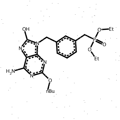 CCCCOc1nc(N)c2nc(O)n(Cc3cccc(CP(=O)(OCC)OCC)c3)c2n1